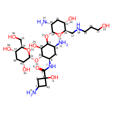 NC1CC(O)(C(=O)N[C@@H]2C[C@H](N)C(O[C@H]3O[C@H](CNCCCO)[C@@H](O)C[C@H]3N)[C@H](O)[C@H]2O[C@H]2O[C@H](CO)[C@@H](O)C[C@H]2O)C1